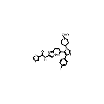 O=CN1CCC(n2cnc(-c3ccc(F)cc3)c2-c2ccc3nc(NC(=O)c4cncs4)cn3n2)CC1